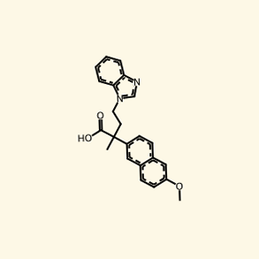 COc1ccc2cc(C(C)(CCn3cnc4ccccc43)C(=O)O)ccc2c1